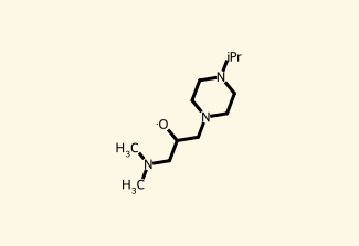 CC(C)N1CCN(CC([O])CN(C)C)CC1